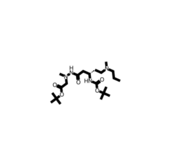 CCCN(C)CC[C@@H](CC(=O)NN(C)CC(=O)OC(C)(C)C)NC(=O)OC(C)(C)C